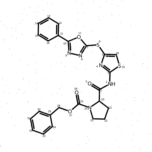 O=C(Nc1nc(Sc2nnc(-c3ccccc3)o2)cs1)C1CCCN1C(=O)OCc1ccccc1